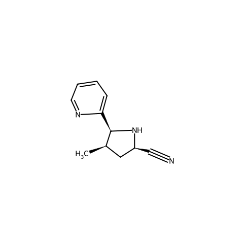 C[C@@H]1C[C@H](C#N)N[C@@H]1c1ccccn1